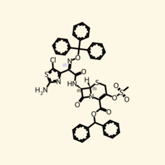 CS(=O)(=O)OC1=C(C(=O)OC(c2ccccc2)c2ccccc2)N2C(=O)[C@@H](NC(=O)/C(=N\OC(c3ccccc3)(c3ccccc3)c3ccccc3)c3nc(N)sc3Cl)[C@@H]2SC1